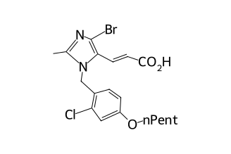 CCCCCOc1ccc(Cn2c(C)nc(Br)c2C=CC(=O)O)c(Cl)c1